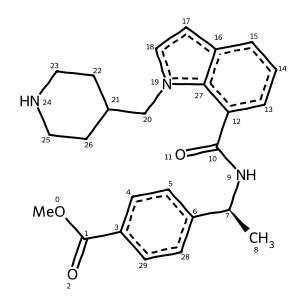 COC(=O)c1ccc([C@H](C)NC(=O)c2cccc3ccn(CC4CCNCC4)c23)cc1